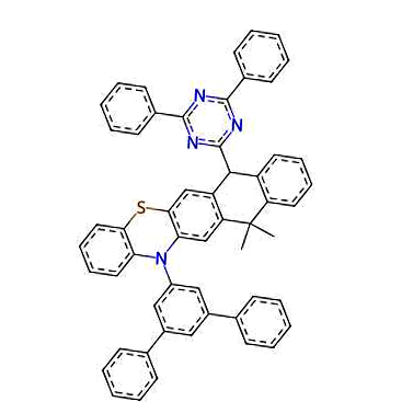 CC1(C)c2ccccc2C(c2nc(-c3ccccc3)nc(-c3ccccc3)n2)c2cc3c(cc21)N(c1cc(-c2ccccc2)cc(-c2ccccc2)c1)c1ccccc1S3